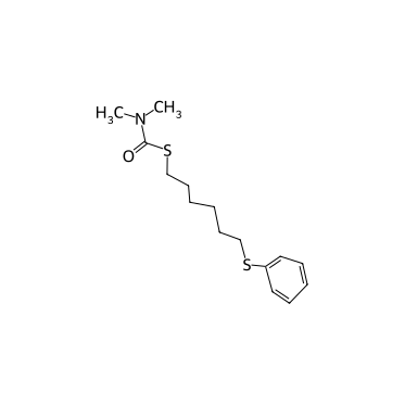 CN(C)C(=O)SCCCCCCSc1ccccc1